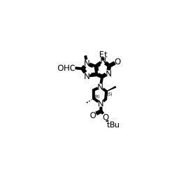 CCn1c(=O)nc(N2C[C@@H](C)N(C(=O)OC(C)(C)C)C[C@@H]2C)c2nc(C=O)n(C)c21